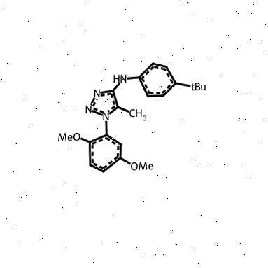 COc1ccc(OC)c(-n2nnc(Nc3ccc(C(C)(C)C)cc3)c2C)c1